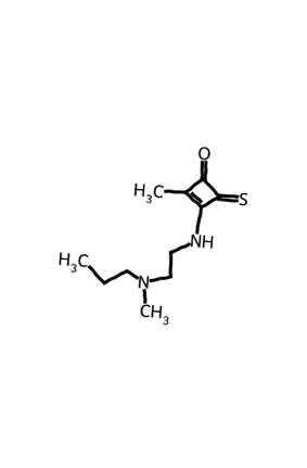 CCCN(C)CCNc1c(C)c(=O)c1=S